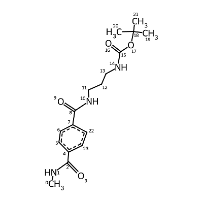 CNC(=O)c1ccc(C(=O)NCCCNC(=O)OC(C)(C)C)cc1